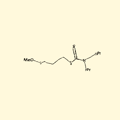 CCCN(CCC)C(=S)SCCCSOC